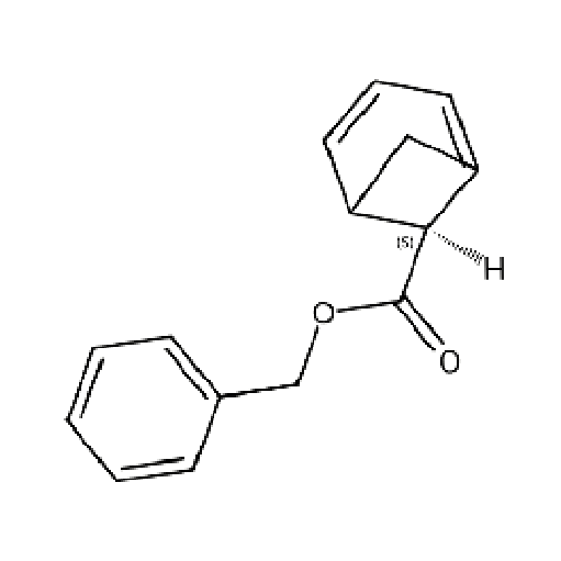 O=C(OCc1ccccc1)[C@@H]1C2=CC=CC1C2